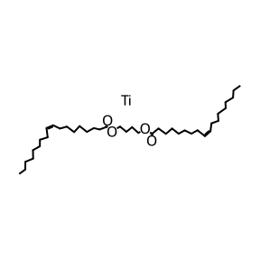 CCCCCCCC/C=C\CCCCCCCC(=O)OCCCCOC(=O)CCCCCCC/C=C\CCCCCCCC.[Ti]